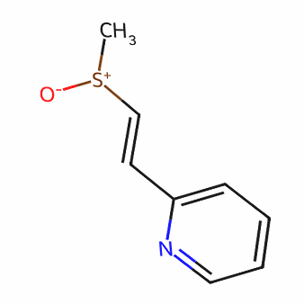 C[S+]([O-])C=Cc1ccccn1